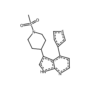 CS(=O)(=O)N1CCC(c2c[nH]c3nccc(-c4ccsc4)c23)CC1